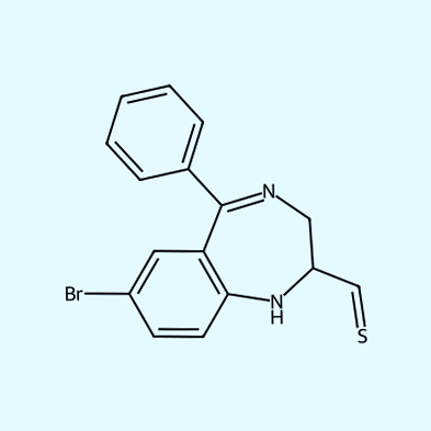 S=CC1CN=C(c2ccccc2)c2cc(Br)ccc2N1